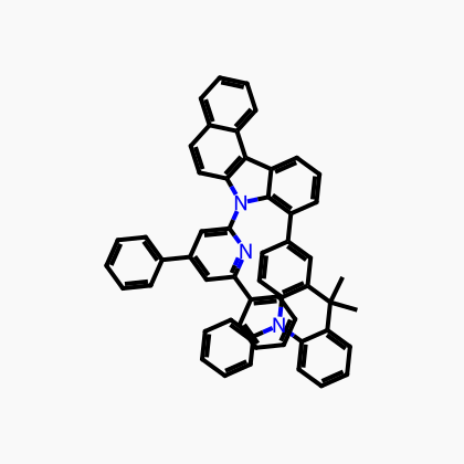 CC1(C)c2ccccc2N(c2ccccc2)c2ccc(-c3cccc4c5c6ccccc6ccc5n(-c5cc(-c6ccccc6)cc(-c6ccccc6)n5)c34)cc21